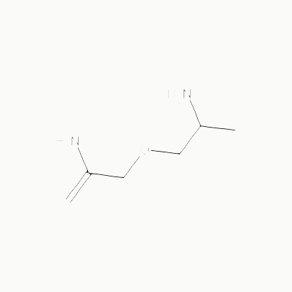 C=C(N)COCC(C)N